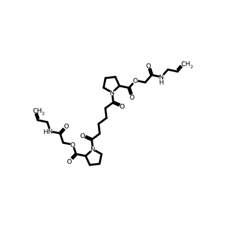 C=CCNC(=O)COC(=O)C1CCCN1C(=O)CCCCC(=O)N1CCCC1C(=O)OCC(=O)NCC=C